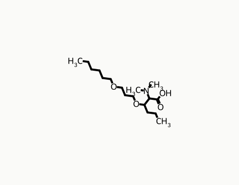 CCCCCCOCCCOC(CCC)C(C(=O)O)N(C)C